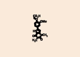 COc1cc(-c2cc3c([nH]2)c(=O)n(C)c(=O)n3C)ccc1OCC(=O)O